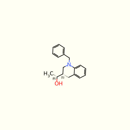 C[C@@H](O)[C@H]1Cc2ccccc2N(Cc2ccccc2)C1